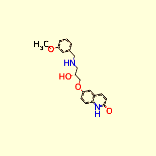 COc1cccc(CNC[C@@H](O)COc2ccc3[nH]c(=O)ccc3c2)c1